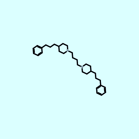 c1ccc(CCCC2CCN(CCCCN3CCC(CCCc4ccccc4)CC3)CC2)cc1